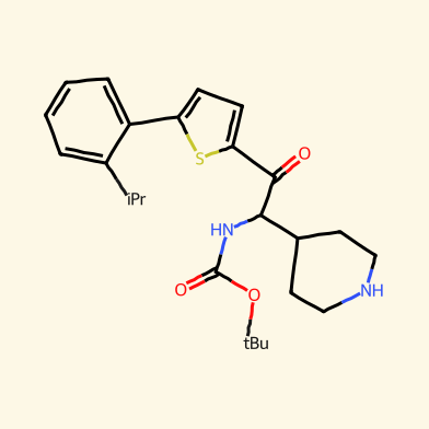 CC(C)c1ccccc1-c1ccc(C(=O)C(NC(=O)OC(C)(C)C)C2CCNCC2)s1